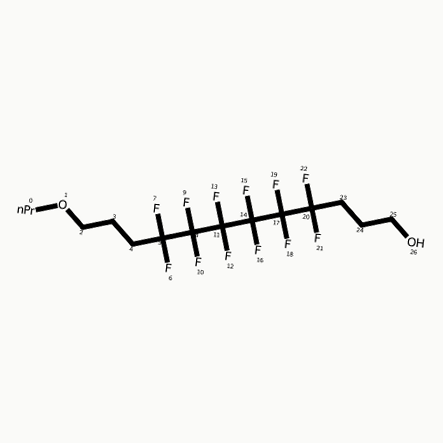 CCCOCCCC(F)(F)C(F)(F)C(F)(F)C(F)(F)C(F)(F)C(F)(F)CCCO